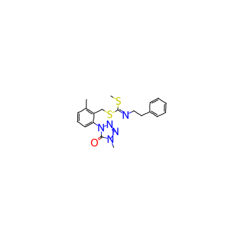 CS/C(=N\CCc1ccccc1)SCc1c(C)cccc1-n1nnn(C)c1=O